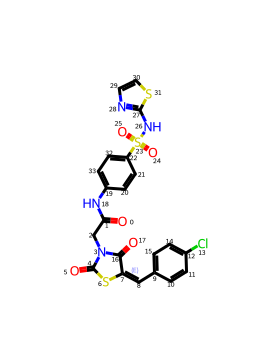 O=C(CN1C(=O)S/C(=C/c2ccc(Cl)cc2)C1=O)Nc1ccc(S(=O)(=O)Nc2nccs2)cc1